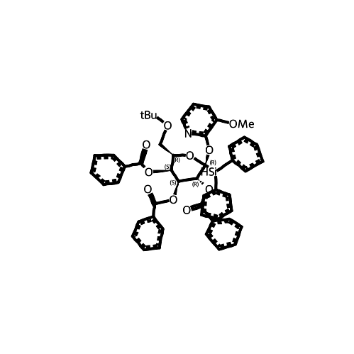 COc1cccnc1O[C@]1([SiH](c2ccccc2)c2ccccc2)O[C@H](COC(C)(C)C)[C@H](OC(=O)c2ccccc2)[C@H](OC(=O)c2ccccc2)[C@H]1OC(=O)c1ccccc1